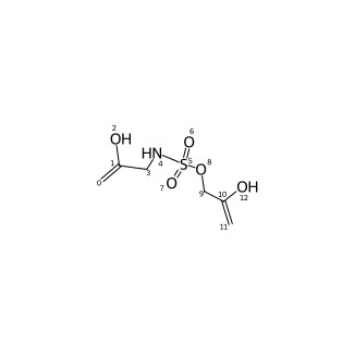 C=C(O)CNS(=O)(=O)OCC(=C)O